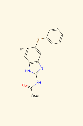 COC(=O)Nc1nc2cc(Sc3ccccc3)ccc2[nH]1.[H+]